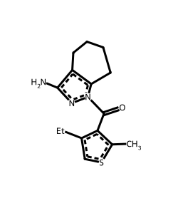 CCc1csc(C)c1C(=O)n1nc(N)c2c1CCCC2